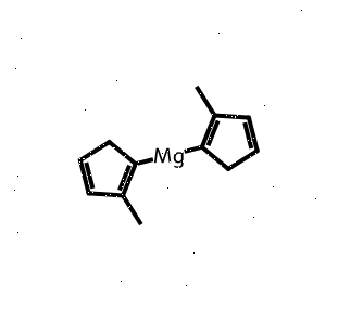 CC1=[C]([Mg][C]2=C(C)C=CC2)CC=C1